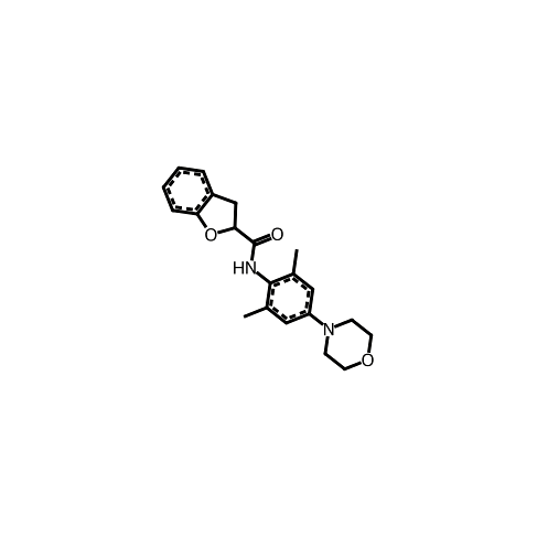 Cc1cc(N2CCOCC2)cc(C)c1NC(=O)C1Cc2ccccc2O1